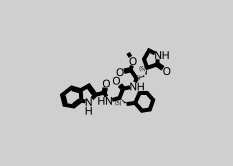 COC(=O)[C@H](C[C@@H]1CCNC1=O)NC(=O)[C@H](CC1CCCCC1)NC(=O)c1cc2ccccc2[nH]1